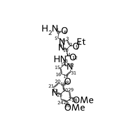 CCOc1cn(CC(N)=O)nc1C(=O)Nc1ccc(Oc2ccnc3cc(OC)c(OC)cc23)cn1